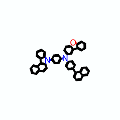 c1ccc2c(-c3ccc(N(c4ccc(-n5c6ccccc6c6c7ccccc7ccc65)cc4)c4ccc5oc6ccccc6c5c4)cc3)cccc2c1